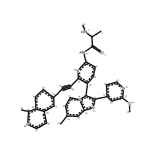 CNC(C)C(=O)Nc1ccc(-c2c(-c3ccnc(OC)c3)nc3cc(C)ccn23)c(C#Cc2ccc3c(C)nccc3c2)n1